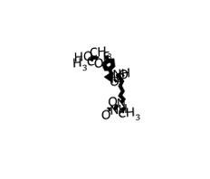 CCN(CCCCCS(=O)(=O)NC1(c2ccc(F)c(OCC(C)(C)O)c2)CC1)C(=O)NC=O